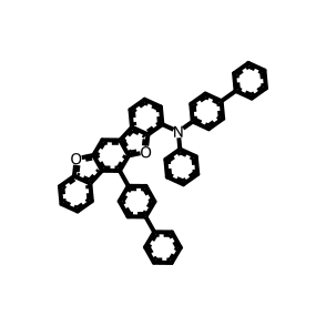 c1ccc(-c2ccc(-c3c4oc5c(N(c6ccccc6)c6ccc(-c7ccccc7)cc6)cccc5c4cc4oc5ccccc5c34)cc2)cc1